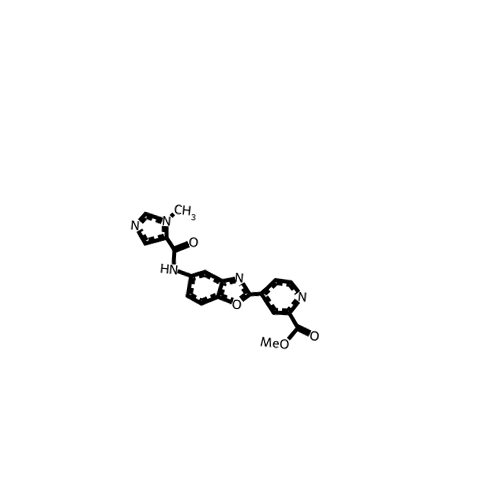 COC(=O)c1cc(-c2nc3cc(NC(=O)c4cncn4C)ccc3o2)ccn1